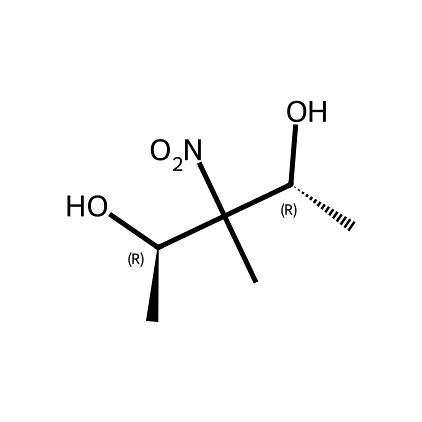 C[C@@H](O)C(C)([C@@H](C)O)[N+](=O)[O-]